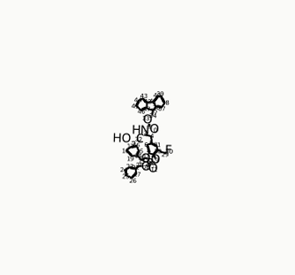 O=C(N[C@H](Cc1ccc(OP(=O)(OCc2ccccc2)OCc2ccccc2)c(CF)c1)C(=O)O)OCC1c2ccccc2-c2ccccc21